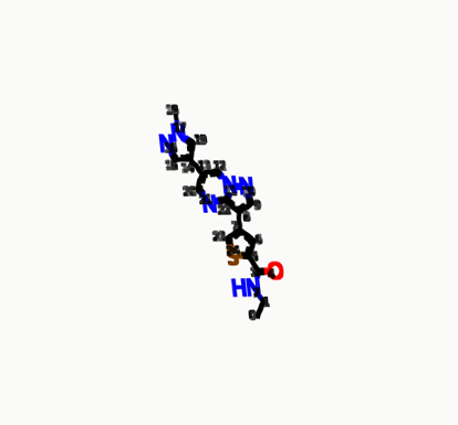 CCNC(=O)c1cc(-c2cnn3cc(-c4cnn(C)c4)cnc23)cs1